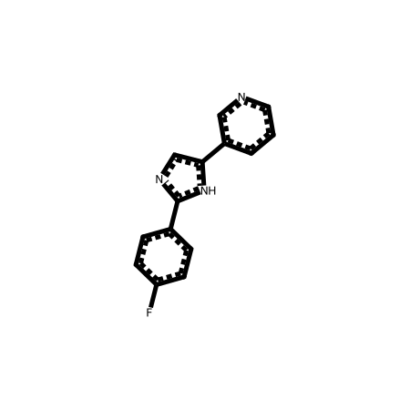 Fc1ccc(-c2ncc(-c3cccnc3)[nH]2)cc1